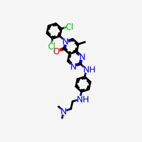 Cc1cn(-c2c(Cl)cccc2Cl)c(=O)c2cnc(Nc3ccc(NCCN(C)C)cc3)nc12